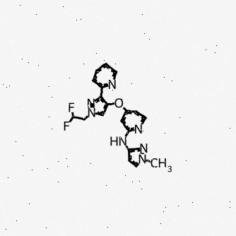 Cn1ccc(Nc2cc(Oc3cn(CC(F)F)nc3-c3ccccn3)ccn2)n1